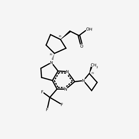 C[C@H]1CCN1c1nc2c(c(C(F)(F)F)n1)CCN2[C@@H]1CC[C@@H](CC(=O)O)C1